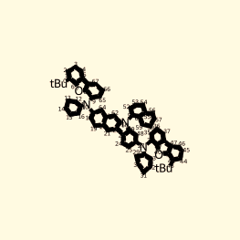 CC(C)(C)c1cccc2c1oc1c(N(c3ccccc3)c3ccc4cc5c6ccc(N(c7ccccc7)c7cccc8c7oc7c(C(C)(C)C)cccc78)cc6n(-c6cccc7ccccc67)c5cc4c3)cccc12